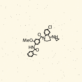 COc1cc(C(=O)N2CCCC(NC3CC3)c3cc(Cl)ccc32)ccc1NC(=O)c1ccccc1C